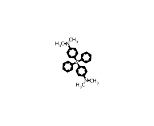 CN(C)c1ccc(S(c2ccccc2)(c2ccccc2)c2ccc(N(C)C)cc2)cc1